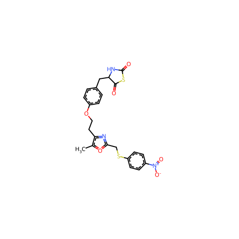 Cc1oc(CSc2ccc([N+](=O)[O-])cc2)nc1CCOc1ccc(CC2NC(=O)SC2=O)cc1